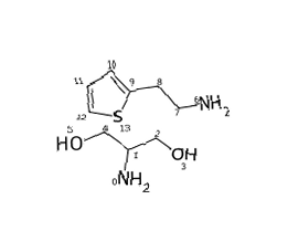 NC(CO)CO.NCCc1cccs1